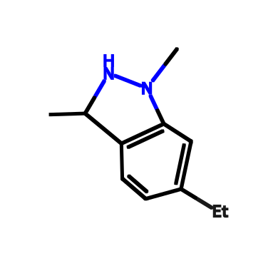 CCc1ccc2c(c1)N(C)NC2C